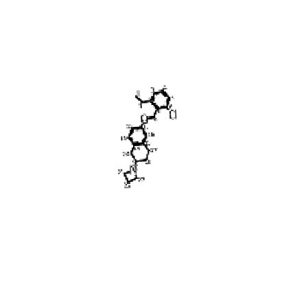 CCc1cccc(Cl)c1COc1ccc2c(c1)CCC(N1CCC1)C2